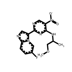 COCC(C)Nc1nc(-c2cnc3ccc(F)cn23)ncc1[N+](=O)[O-]